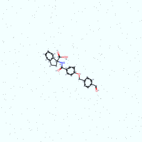 O=Cc1ccc(COc2ccc(C(=O)NC3(C(=O)O)CCc4ccccc43)cc2)cc1